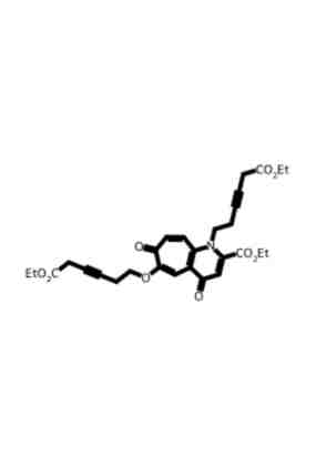 CCOC(=O)CC#CCCOc1cc2c(=O)cc(C(=O)OCC)n(CCC#CCC(=O)OCC)c2ccc1=O